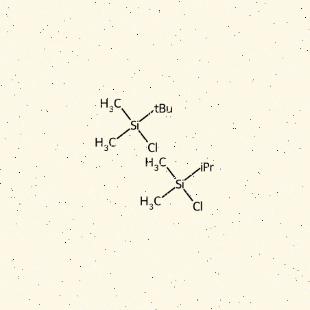 CC(C)(C)[Si](C)(C)Cl.CC(C)[Si](C)(C)Cl